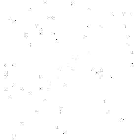 C=CC(=O)NCCNC(C)C